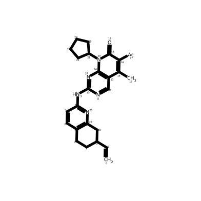 C=CC1CCc2ccc(Nc3ncc4c(C)c(C(C)=O)c(=O)n(C5CCCC5)c4n3)nc2C1